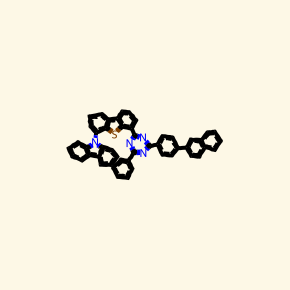 c1ccc(-c2nc(-c3ccc(-c4ccc5ccccc5c4)cc3)nc(-c3cccc4c3sc3c(-n5c6ccccc6c6ccccc65)cccc34)n2)cc1